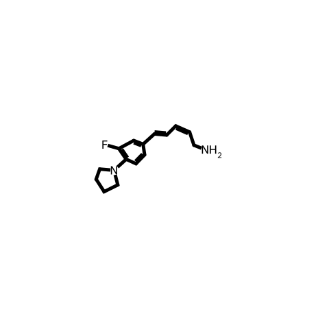 NC/C=C\C=C\c1ccc(N2CCCC2)c(F)c1